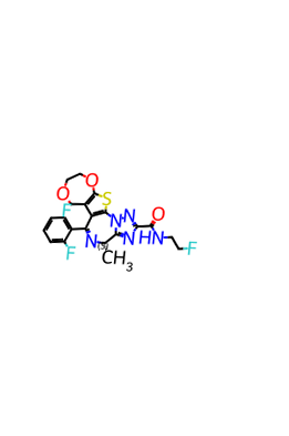 C[C@@H]1N=C(c2c(F)cccc2F)c2c(sc3c2COCCO3)-n2nc(C(=O)NCCF)nc21